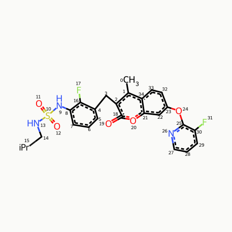 Cc1c(Cc2cccc(NS(=O)(=O)NCC(C)C)c2F)c(=O)oc2cc(Oc3ncccc3F)ccc12